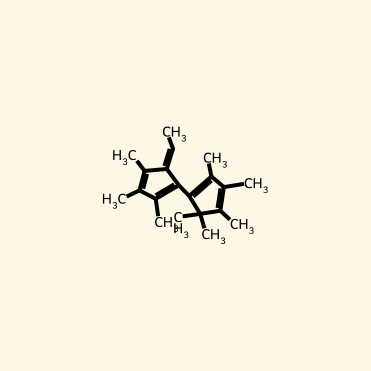 C/C=C1\C(C)=C(C)C(C)=C1C1=C(C)C(C)=C(C)C1(C)C